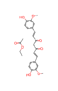 CCOC(C)=O.COc1cc(/C=C/C(=O)CC(=O)/C=C/c2ccc(O)c(OC)c2)ccc1O